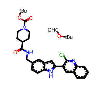 CC(C)(C)OC(=O)N1CCC(C(=O)NCc2ccc3[nH]c(-c4cc5ccccc5nc4Cl)cc3c2)CC1.CC(C)(C)OC=O